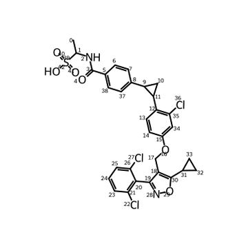 CC(NC(=O)c1ccc(C2CC2c2ccc(OCc3c(-c4c(Cl)cccc4Cl)noc3C3CC3)cc2Cl)cc1)S(=O)(=O)O